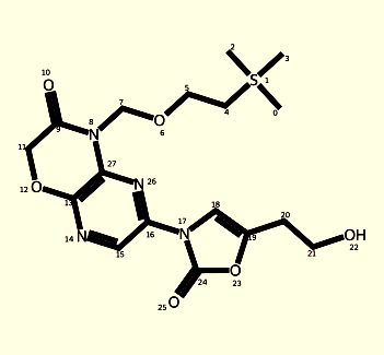 CS(C)(C)CCOCN1C(=O)COc2ncc(-n3cc(CCO)oc3=O)nc21